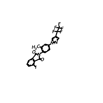 Cc1cc(-n2cc(C(F)(F)C(F)(F)F)cn2)ccc1N1C(=O)c2cccc(I)c2C1=O